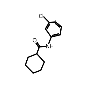 O=C(Nc1cc[c]c(Cl)c1)C1CCCCC1